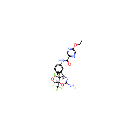 CCOc1cnc(C(=O)Nc2ccc(F)c([C@@]3(C)N=C(N)O[C@]4(C(F)(F)F)COC[C@H]34)c2)cn1